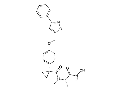 C[C@@H](C(=O)NO)N(C)C(=O)C1(c2ccc(OCc3cc(-c4ccccc4)no3)cc2)CC1